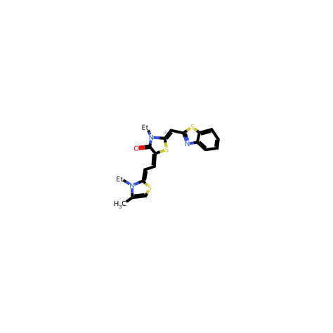 CCN1C(C)=CSC1=CC=c1s/c(=C\c2nc3ccccc3s2)n(CC)c1=O